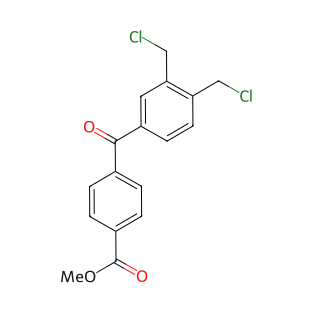 COC(=O)c1ccc(C(=O)c2ccc(CCl)c(CCl)c2)cc1